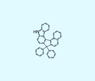 c1ccc(C2(c3ccccc3)c3ccc4ccccc4c3-c3c2ccc2[nH]c4ccccc4c32)cc1